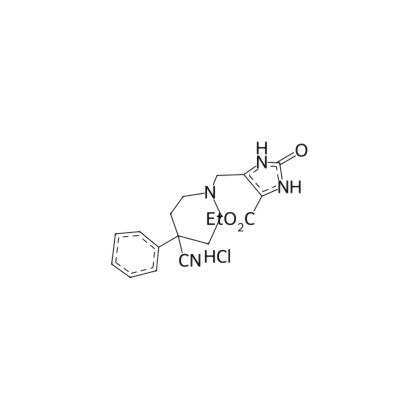 CCOC(=O)c1[nH]c(=O)[nH]c1CN1CCC(C#N)(c2ccccc2)CC1.Cl